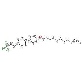 CCCCCCCCCCOc1ccc(C2CCC(CCC(F)(F)F)CC2)cc1